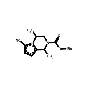 CC1c2ccc(C#N)n2C(C)CN1C(=O)OC(C)(C)C